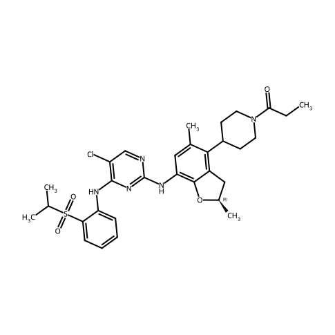 CCC(=O)N1CCC(c2c(C)cc(Nc3ncc(Cl)c(Nc4ccccc4S(=O)(=O)C(C)C)n3)c3c2C[C@@H](C)O3)CC1